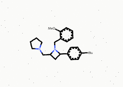 COc1ccccc1CN1C(CN2CCCC2)CC1c1ccc(C(C)(C)C)cc1